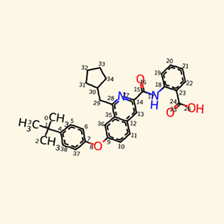 CC(C)(C)c1ccc(Oc2ccc3cc(C(=O)Nc4ccccc4C(=O)O)nc(CC4CCCC4)c3c2)cc1